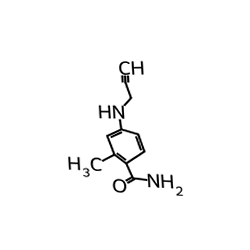 C#CCNc1ccc(C(N)=O)c(C)c1